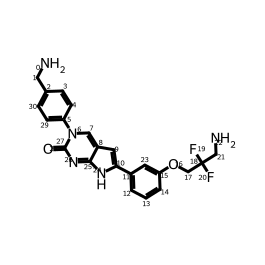 NCc1ccc(-n2cc3cc(-c4cccc(OCC(F)(F)CN)c4)[nH]c3nc2=O)cc1